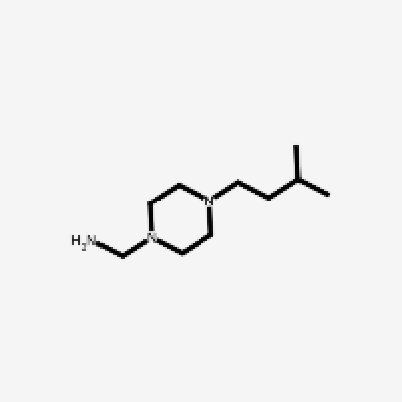 CC(C)CCN1CCN(CN)CC1